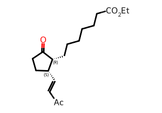 CCOC(=O)CCCCCC[C@H]1C(=O)CC[C@H]1C=CC(C)=O